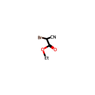 CCOC(=O)C(Br)C#N